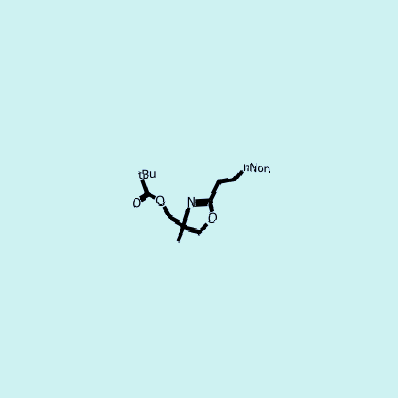 CCCCCCCCCCCC1=NC(C)(COC(=O)C(C)(C)C)CO1